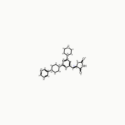 O=C1NC(=O)/C(=C/c2cc(N3CCOCC3)nc(N3CCN(c4cncnc4)CC3)n2)S1